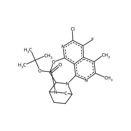 Cc1nc2c3c(nc(Cl)c(F)c3c1C)OCC1C3CCC(CN3C(=O)OC(C)(C)C)N21